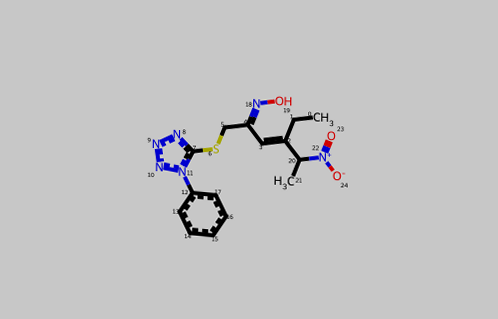 CC/C(=C\C(CSc1nnnn1-c1ccccc1)=N/O)C(C)[N+](=O)[O-]